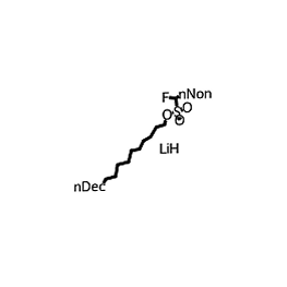 CCCCCCCCCCCCCCCCCCCCOS(=O)(=O)C(F)CCCCCCCCC.[LiH]